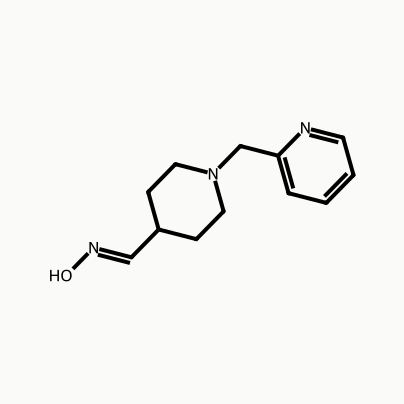 ON=CC1CCN(Cc2ccccn2)CC1